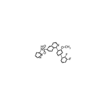 COc1cc(-c2cccc(F)c2F)ccc1-c1nccc2cc(S(=O)(=O)Nc3cccnn3)ccc12